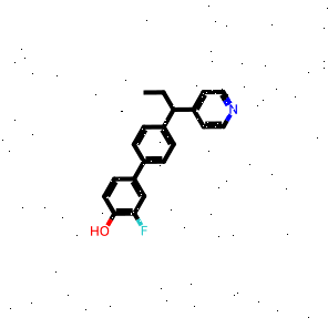 CCC(c1ccncc1)c1ccc(-c2ccc(O)c(F)c2)cc1